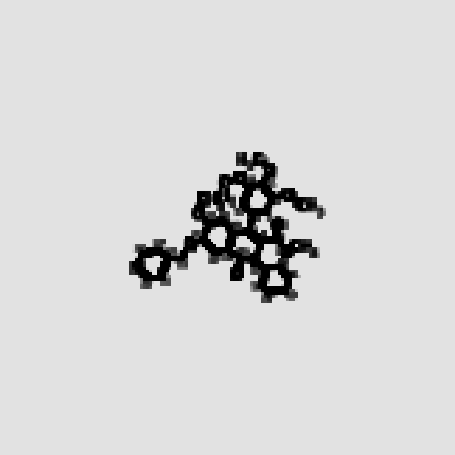 COC(=O)c1c(-c2cc(OC)c(OC)c(OC)c2)c2cc(OC)c(OCc3ccncc3)cc2c(=O)n1-c1ccccc1